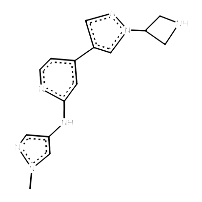 Cn1cc(Nc2cc(-c3cnn(C4CNC4)c3)ccn2)cn1